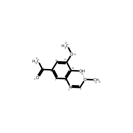 CO/C=N\c1cc(C(C)=O)cc(OC)c1O